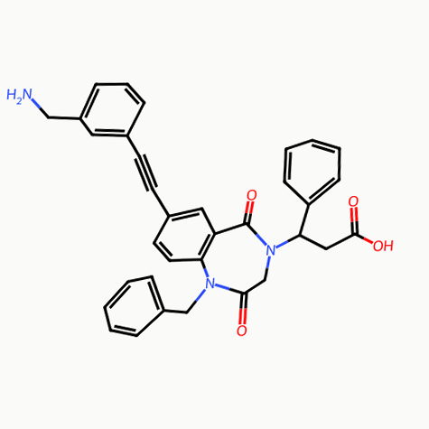 NCc1cccc(C#Cc2ccc3c(c2)C(=O)N(C(CC(=O)O)c2ccccc2)CC(=O)N3Cc2ccccc2)c1